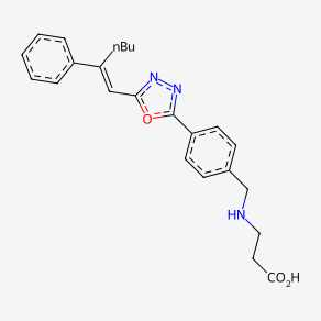 CCCC/C(=C\c1nnc(-c2ccc(CNCCC(=O)O)cc2)o1)c1ccccc1